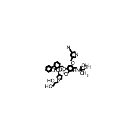 CC(CO)(CO)NCc1cc(Cl)c(OCC2(OC[C@H]3CCN(CC(O)CO)C3)C=CC=C(c3ccccc3)C2(C)Cl)cc1OCc1cncc(C#N)c1